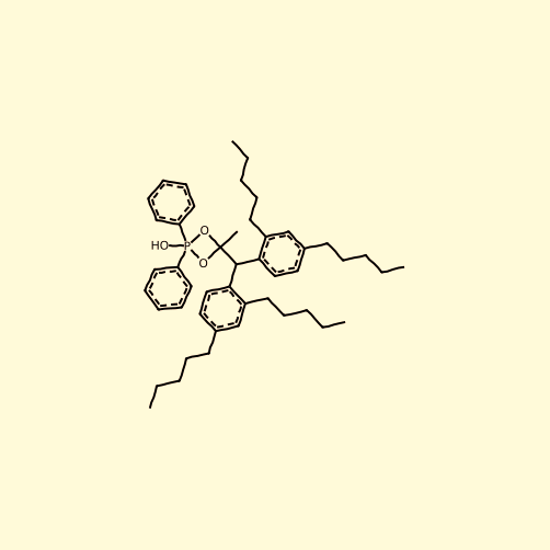 CCCCCc1ccc(C(c2ccc(CCCCC)cc2CCCCC)C2(C)OP(O)(c3ccccc3)(c3ccccc3)O2)c(CCCCC)c1